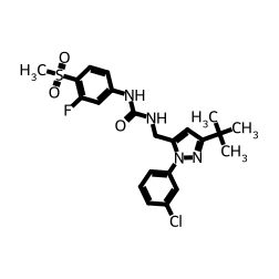 CC(C)(C)c1cc(CNC(=O)Nc2ccc(S(C)(=O)=O)c(F)c2)n(-c2cccc(Cl)c2)n1